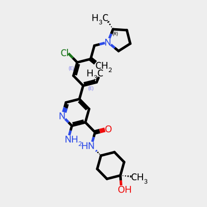 C=C(CN1CCC[C@H]1C)/C(Cl)=C\C(=C/C)c1cnc(N)c(C(=O)N[C@H]2CC[C@](C)(O)CC2)c1